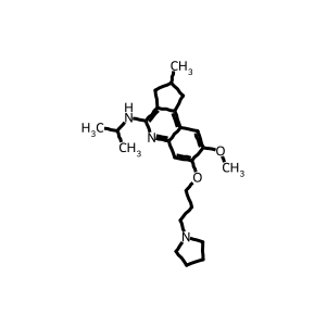 COc1cc2c3c(c(NC(C)C)nc2cc1OCCCN1CCCC1)CC(C)C3